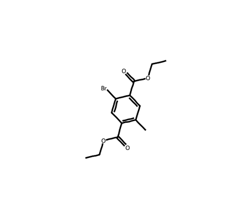 CCOC(=O)c1cc(Br)c(C(=O)OCC)cc1C